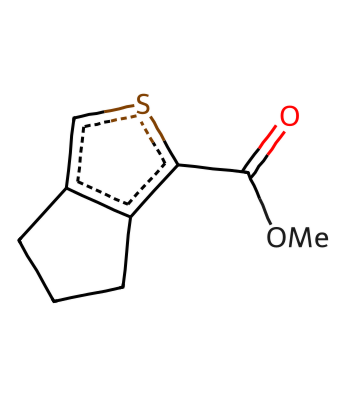 COC(=O)c1scc2c1CCC2